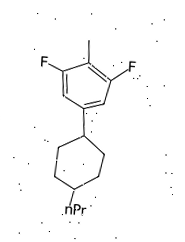 CCCC1CCC(c2cc(F)c(C)c(F)c2)CC1